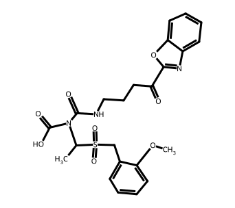 COc1ccccc1CS(=O)(=O)C(C)N(C(=O)O)C(=O)NCCCC(=O)c1nc2ccccc2o1